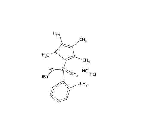 CC1=C(C)C(C)[C]([Zr](=[SiH2])([NH]C(C)(C)C)[c]2ccccc2C)=C1C.Cl.Cl